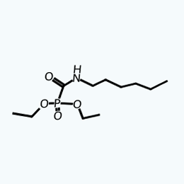 CCCCCCNC(=O)P(=O)(OCC)OCC